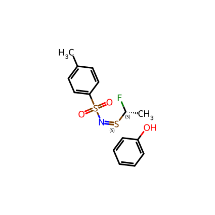 Cc1ccc(S(=O)(=O)N=[S@](c2ccccc2O)[C@@H](C)F)cc1